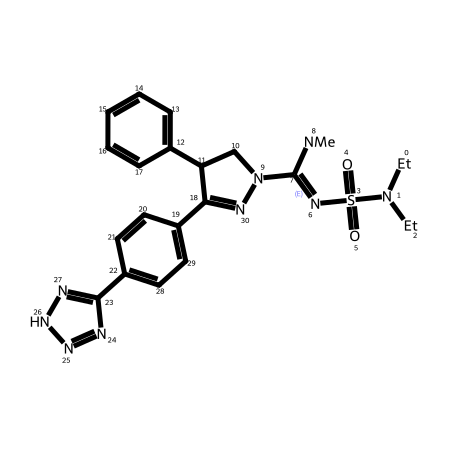 CCN(CC)S(=O)(=O)/N=C(\NC)N1CC(c2ccccc2)C(c2ccc(-c3nn[nH]n3)cc2)=N1